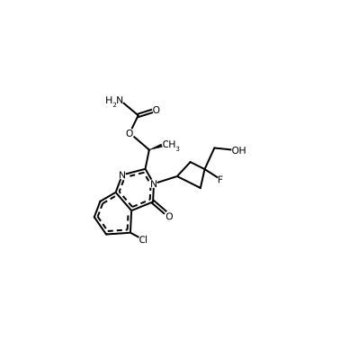 C[C@H](OC(N)=O)c1nc2cccc(Cl)c2c(=O)n1C1CC(F)(CO)C1